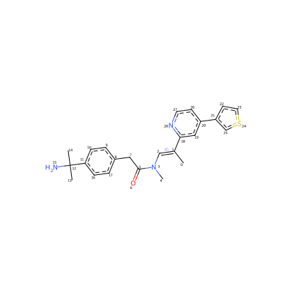 C/C(=C\N(C)C(=O)Cc1ccc(C(C)(C)N)cc1)c1cc(-c2ccsc2)ccn1